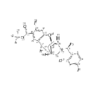 C[C@@H](c1ccc(F)cc1Cl)N1C[C@H]2C[C@@H]1[C@H](Oc1cc(F)c(C(=O)OC(C)(C)C)cc1C1CC1)C2